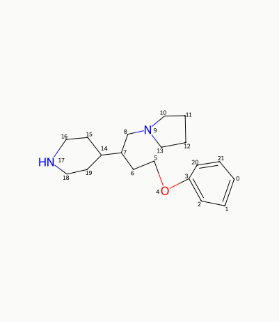 c1ccc(OCCC(CN2CCCC2)C2CCNCC2)cc1